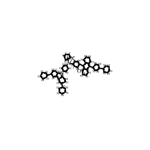 Cc1cc(N(c2ccccc2)c2ccc(-n3c4ccc(-c5ccccc5)cc4c4cc(-c5ccccc5)ccc43)cc2)c(C)cc1-c1c2ccccc2c(-c2ccc(-c3ccccc3)cc2)c2ccccc12